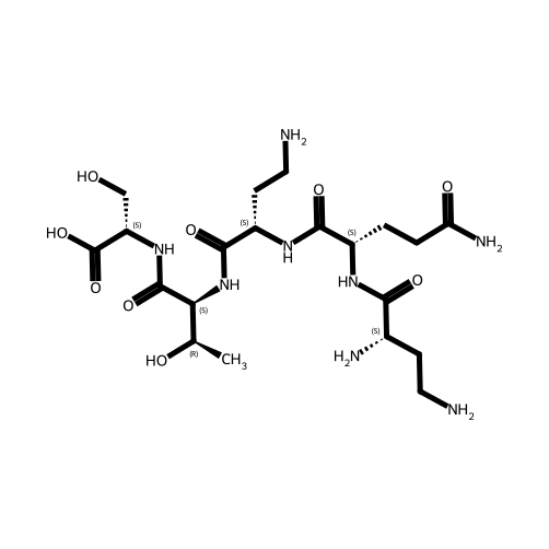 C[C@@H](O)[C@H](NC(=O)[C@H](CCN)NC(=O)[C@H](CCC(N)=O)NC(=O)[C@@H](N)CCN)C(=O)N[C@@H](CO)C(=O)O